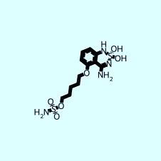 NC1=NS(O)(O)Nc2cccc(OCCCCCOS(N)(=O)=O)c21